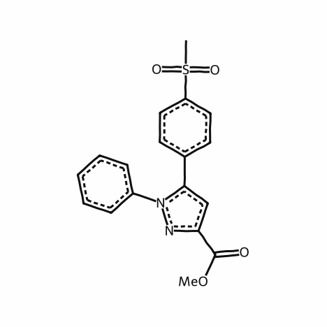 COC(=O)c1cc(-c2ccc(S(C)(=O)=O)cc2)n(-c2ccccc2)n1